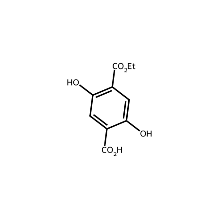 CCOC(=O)c1cc(O)c(C(=O)O)cc1O